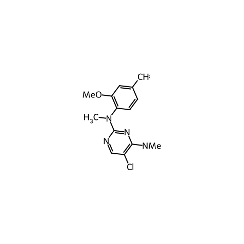 [CH]c1ccc(N(C)c2ncc(Cl)c(NC)n2)c(OC)c1